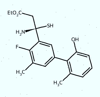 CCOC(=O)C[C@](N)(S)c1cc(-c2c(C)cccc2O)cc(C)c1F